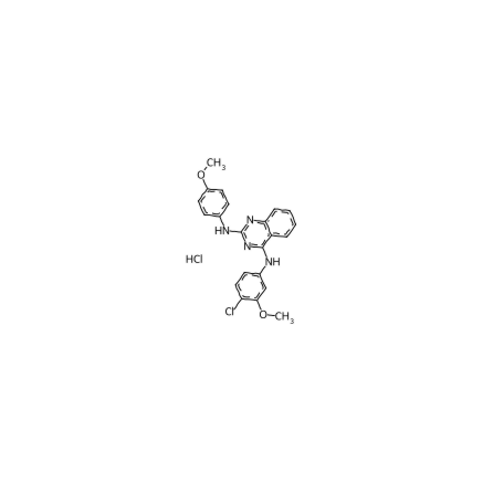 COc1ccc(Nc2nc(Nc3ccc(Cl)c(OC)c3)c3ccccc3n2)cc1.Cl